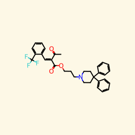 CC(=O)C(=Cc1ccccc1C(F)(F)F)C(=O)OCCCN1CCC(c2ccccc2)(c2ccccc2)CC1